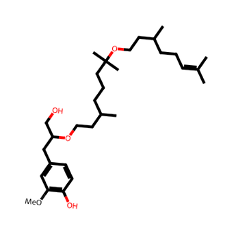 COc1cc(CC(CO)OCCC(C)CCCC(C)(C)OCCC(C)CCC=C(C)C)ccc1O